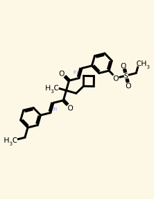 CCc1cccc(/C=C/C(=O)C(C)(CC2CCC2)C(=O)/C=C/c2cccc(OS(=O)(=O)CC)c2)c1